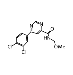 COCNC(=O)c1cc(-c2ccc(Cl)c(Cl)c2)ncn1